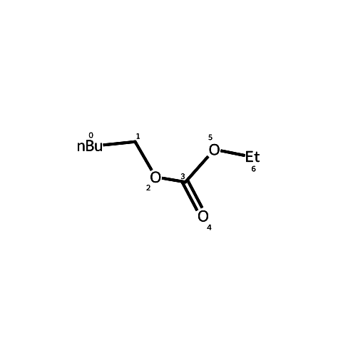 CCCCCOC(=O)OCC